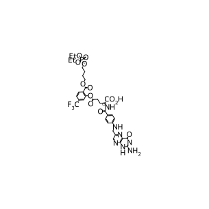 CCOP(=O)(OCC)OCCCCOC(=O)c1ccc(C(F)(F)F)cc1OC(=O)CC[C@H](NC(=O)c1ccc(NCc2cnc3[nH]c(N)nc(=O)c3n2)cc1)C(=O)O